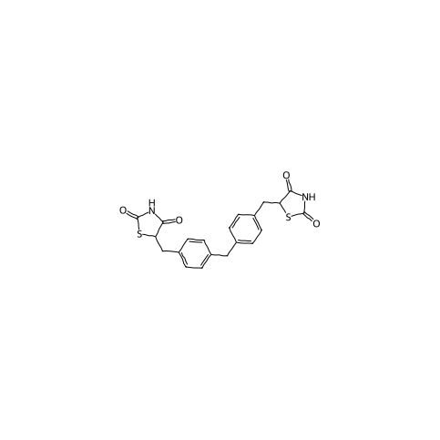 O=C1NC(=O)C(Cc2ccc(Cc3ccc(CC4SC(=O)NC4=O)cc3)cc2)S1